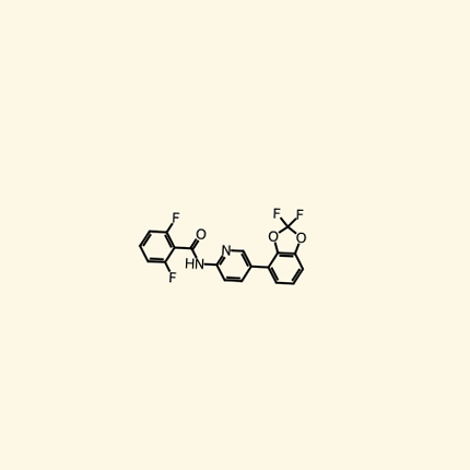 O=C(Nc1ccc(-c2cccc3c2OC(F)(F)O3)cn1)c1c(F)cccc1F